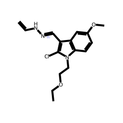 C=CN/N=C/c1c(Cl)n(CCOCC)c2ccc(OC)cc12